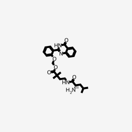 CC(C)C[C@H](N)C(=O)NCCC(C)(C)C(=O)OCOc1ccccc1-c1nc2ccccc2c(=O)[nH]1